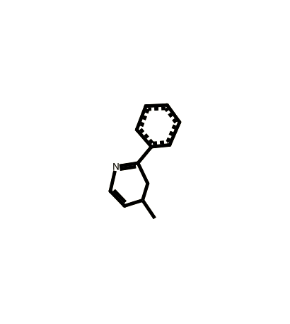 CC1C=CN=C(c2ccccc2)C1